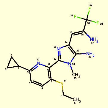 CCSc1ccc(C2CC2)nc1-c1nc(/C=C(\N)C(F)(F)F)c(N)n1C